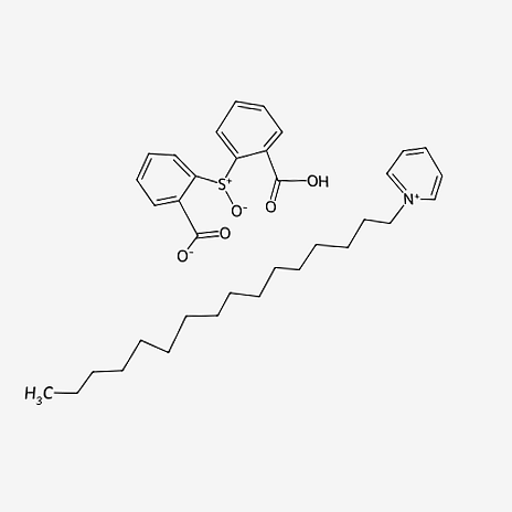 CCCCCCCCCCCCCCCC[n+]1ccccc1.O=C([O-])c1ccccc1[S+]([O-])c1ccccc1C(=O)O